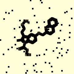 CCCCOC(=O)n1c(C)c(CCON)c2cc(OCc3ccc4ccccc4n3)ccc21